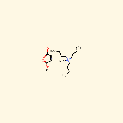 CCCC[N+](C)(CCCC)CCCC.O=C([O-])/C=C\C(=O)[O-].[K+]